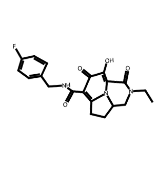 CCN1CC2CCc3c(C(=O)NCc4ccc(F)cc4)c(=O)c(O)c(n32)C1=O